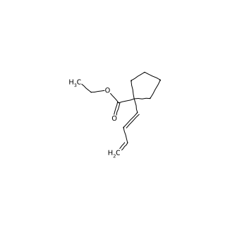 C=CC=CC1(C(=O)OCC)CCCC1